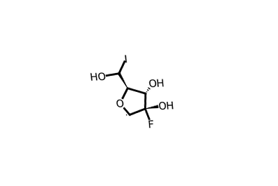 OC(I)[C@@H]1O[CH][C@@](O)(F)[C@H]1O